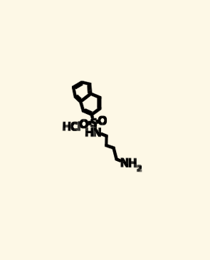 Cl.NCCCCNS(=O)(=O)c1ccc2ccccc2c1